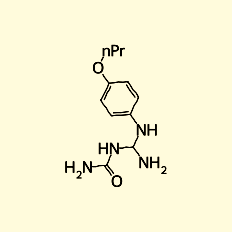 CCCOc1ccc(NC(N)NC(N)=O)cc1